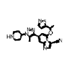 Cc1c(-c2cc(OC(C)c3ccns3)n3c(C#N)cnc3c2)nnn1C1CCNCC1